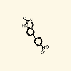 O=c1ncc2cc(-c3ccc([N+](=O)[O-])cc3)ccc2[nH]1